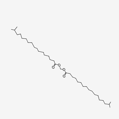 CC(C)CCCCCCCCCCCCCCC(=O)OCOC(=O)CCCCCCCCCCCCCCC(C)C